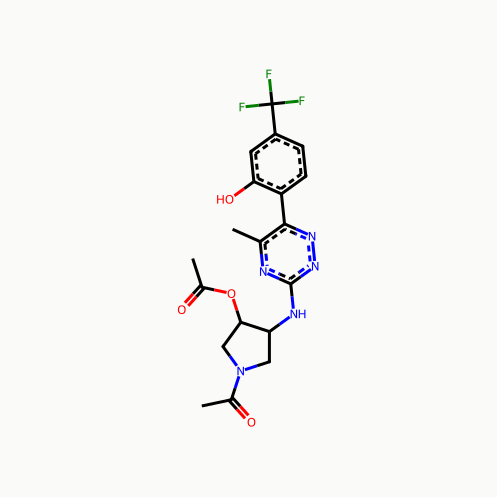 CC(=O)OC1CN(C(C)=O)CC1Nc1nnc(-c2ccc(C(F)(F)F)cc2O)c(C)n1